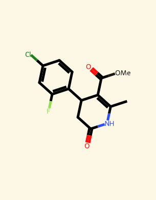 COC(=O)C1=C(C)NC(=O)CC1c1ccc(Cl)cc1F